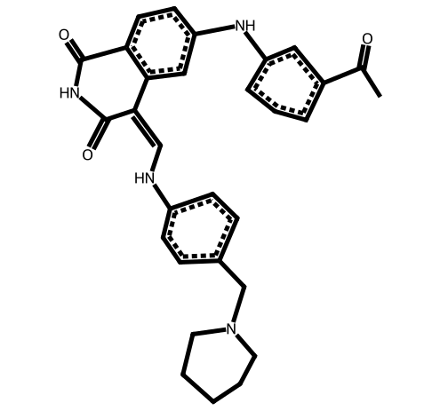 CC(=O)c1cccc(Nc2ccc3c(c2)C(=CNc2ccc(CN4CCCCC4)cc2)C(=O)NC3=O)c1